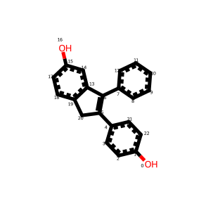 Oc1ccc(C2=C(c3ccccc3)c3cc(O)ccc3C2)cc1